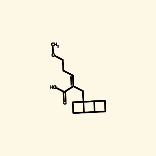 COCCC=C(CC12C3C4C5C3C1C5C42)C(=O)O